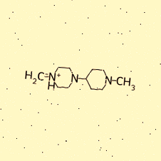 [CH2-][NH+]1CCN(C2CCN(C)CC2)CC1